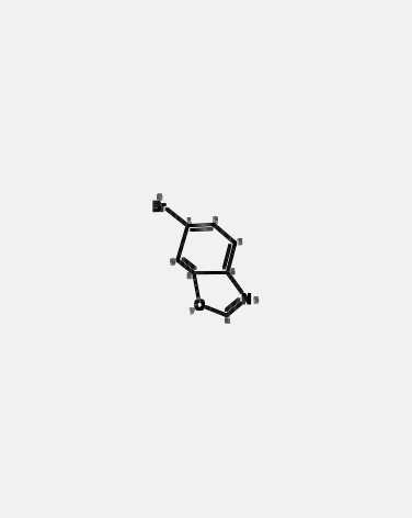 Brc1ccc2ncoc2c1